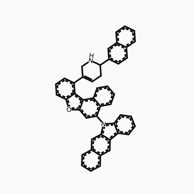 C1=C(c2cccc3oc4cc(-n5c6ccccc6c6cc7ccccc7cc65)c5ccccc5c4c23)CNC(c2ccc3ccccc3c2)C1